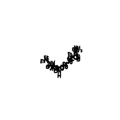 CCN(CC)CCNC(=O)c1c(C)[nH]c(/C=C2\C(=O)Nc3ccc(OC(=O)CCC(=O)OC(C)C(=O)N(CC)C4C[C@@H](C)S(=O)(=O)c5sc(S(N)(=O)=O)cc54)cc32)c1C